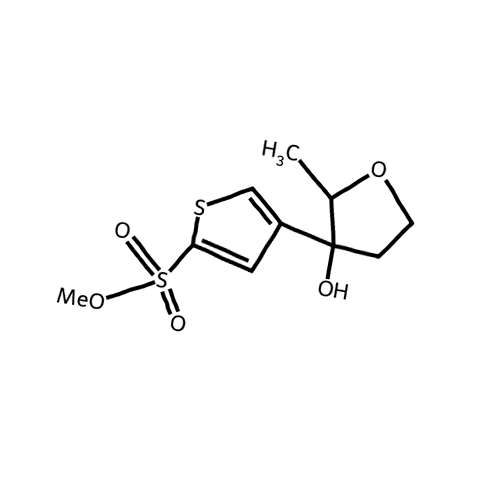 COS(=O)(=O)c1cc(C2(O)CCOC2C)cs1